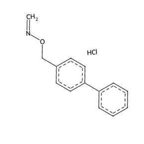 C=NOCc1ccc(-c2ccccc2)cc1.Cl